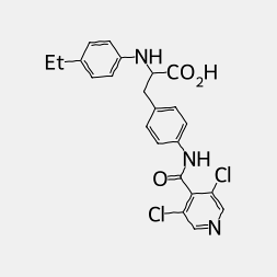 CCc1ccc(NC(Cc2ccc(NC(=O)c3c(Cl)cncc3Cl)cc2)C(=O)O)cc1